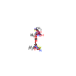 Cc1ncsc1-c1ccc(CNC(=O)[C@@H]2C[C@@H](O)CN2C(=O)C(NC(=O)COc2ccc(OCC#Cc3ccc(N4C(=S)N(c5ccc(C#N)c(C(F)(F)F)c5)C(=O)C4(C)C)cc3)cc2)C(C)(C)C)cc1